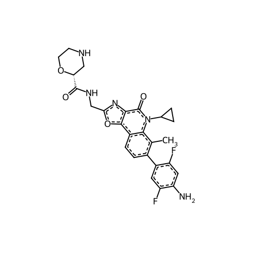 Cc1c(-c2cc(F)c(N)cc2F)ccc2c3oc(CNC(=O)[C@H]4CNCCO4)nc3c(=O)n(C3CC3)c12